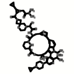 CO[C@@H](C)c1ncc(N2CCN(C3CC3)CC2)cc1-c1c2c3cc(ccc3n1CC(F)(F)F)-c1csc(n1)C[C@H](NC(=O)C(C(C)C)N1CCOC3(CN(C(=O)[C@H]4C(C5CC5)N4CC(=O)N(C)C)C3)C1)C(=O)N1CCC[C@H](N1)C(=O)OCC(C)(C)C2